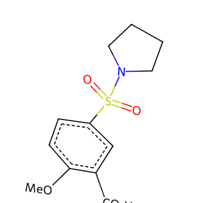 COc1ccc(S(=O)(=O)N2CCCC2)cc1C(=O)O